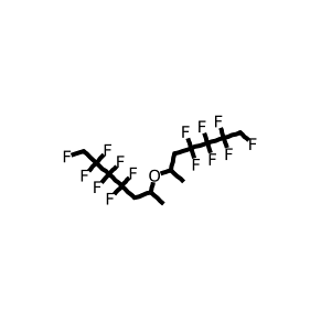 CC(CC(F)(F)C(F)(F)C(F)(F)CF)OC(C)CC(F)(F)C(F)(F)C(F)(F)CF